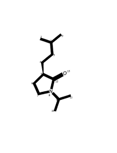 CC(C)CC[C@@H]1CCN(C(C)C)C1=O